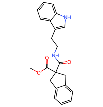 COC(=O)C1(C(=O)NCCc2c[nH]c3ccccc23)Cc2ccccc2C1